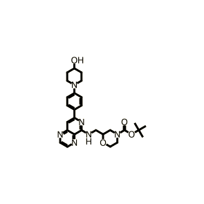 CC(C)(C)OC(=O)N1CCOC(CNc2nc(-c3ccc(N4CCC(O)CC4)cc3)cc3nccnc23)C1